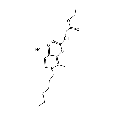 CCOCCCn1ccc(=O)c(OC(=O)NCC(=O)OCC)c1C.Cl